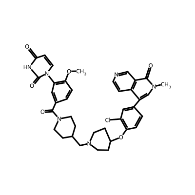 COc1ccc(C(=O)N2CCC(CN3CCC(Oc4ccc(-c5cn(C)c(=O)c6cnccc56)cc4Cl)CC3)CC2)cc1-n1ccc(=O)[nH]c1=O